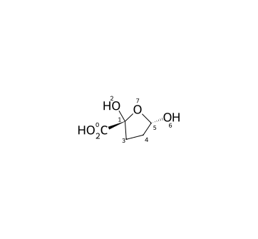 O=C(O)[C@]1(O)CC[C@@H](O)O1